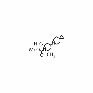 COC(=O)N1C(C)CC(N2CCC3(CC2)CC3)CC1C